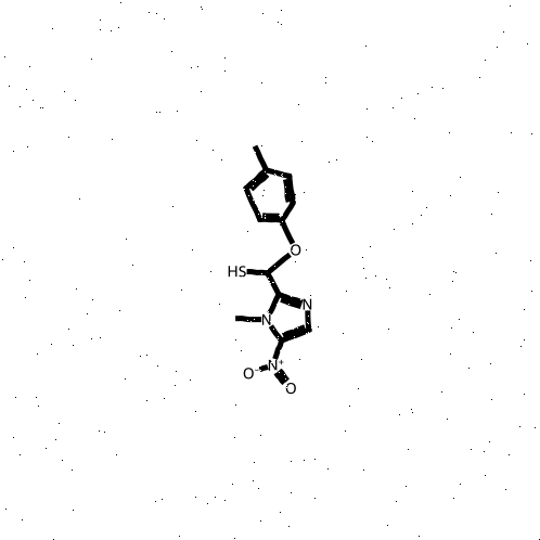 Cc1ccc(OC(S)c2ncc([N+](=O)[O-])n2C)cc1